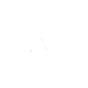 OCC1CN(Cc2ccccc2)CCN1c1ccc2c(c1)CCC2